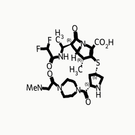 CNCC(=O)N1CCN(C(=O)[C@@H]2C[C@H](SC3=C(C(=O)O)N4C(=O)[C@H](C(C)NC(=O)C(F)F)[C@H]4[C@H]3C)CN2)CC1